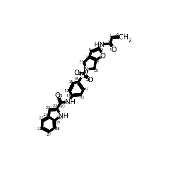 C=CC(=O)Nc1cc2c(o1)CN(S(=O)(=O)c1ccc(NC(=O)c3cc4ccccc4[nH]3)cc1)C2